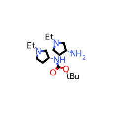 CCN1CC[C@@H](N)C1.CCN1CC[C@@H](NC(=O)OC(C)(C)C)C1